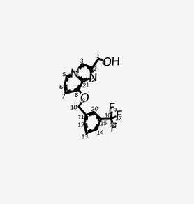 OCc1cn2cccc(OCc3cccc(C(F)(F)F)c3)c2n1